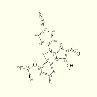 Cc1sc(N(Cc2ccc(F)cc2OC(F)F)c2ccc(C#N)cc2)nc1C=O